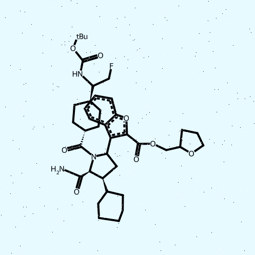 CC(C)(C)OC(=O)NC(CF)[C@H]1CC[C@H](C(=O)N2C(c3c(C(=O)OCC4CCCO4)oc4ccccc34)C[C@@H](C3CCCCC3)[C@H]2C(N)=O)CC1